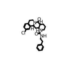 O=C(NCCc1ccccc1)N1CCC[C@H]2C(=O)N3CCc4ccc(Cl)cc4[C@@H]3C[C@H]21